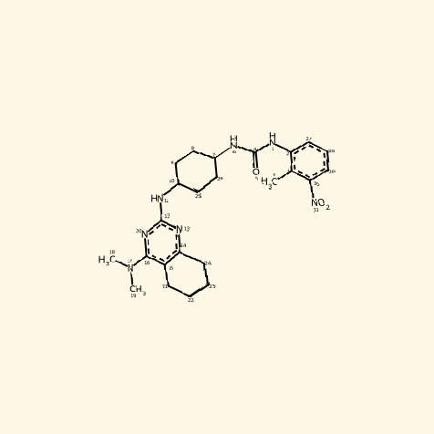 Cc1c(NC(=O)NC2CCC(Nc3nc4c(c(N(C)C)n3)CCCC4)CC2)cccc1[N+](=O)[O-]